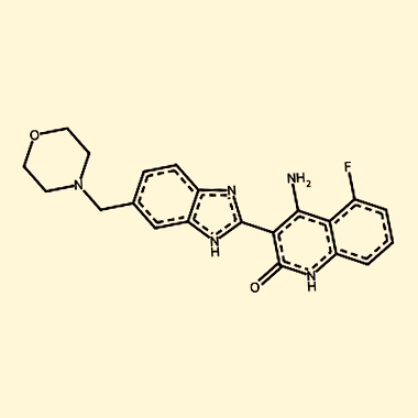 Nc1c(-c2nc3ccc(CN4CCOCC4)cc3[nH]2)c(=O)[nH]c2cccc(F)c12